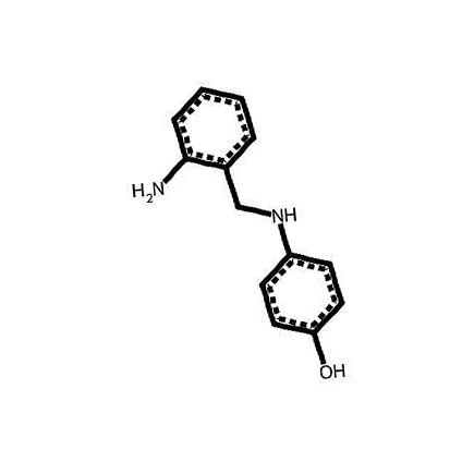 Nc1ccccc1CNc1ccc(O)cc1